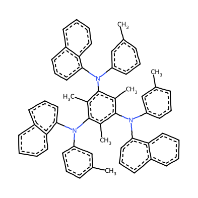 Cc1cccc(N(c2c(C)c(N(c3cccc(C)c3)c3cccc4ccccc34)c(C)c(N(c3cccc(C)c3)c3cccc4ccccc34)c2C)c2cccc3ccccc23)c1